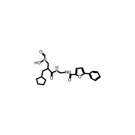 O=CN(O)CC(CC1CCCC1)C(=O)NCNC(=O)c1ccc(-c2ccccc2)o1